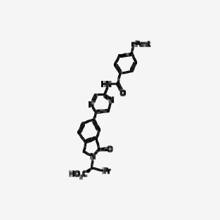 CCCCCc1ccc(C(=O)Nc2cnc(-c3ccc4c(c3)C(=O)N([C@H](C(=O)O)C(C)C)C4)cn2)cc1